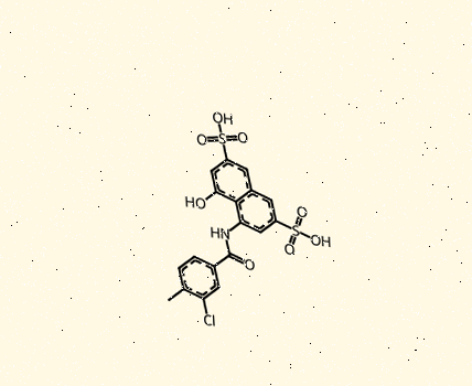 Cc1ccc(C(=O)Nc2cc(S(=O)(=O)O)cc3cc(S(=O)(=O)O)cc(O)c23)cc1Cl